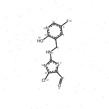 O=Cc1sc(NCc2cc(F)cnc2O)nc1Cl